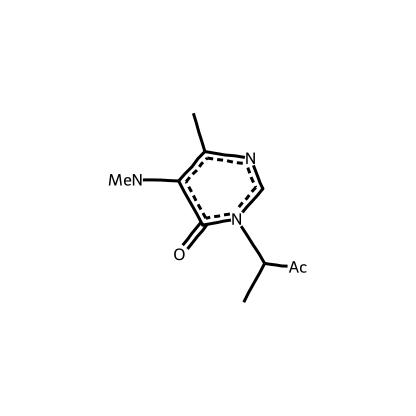 CNc1c(C)ncn(C(C)C(C)=O)c1=O